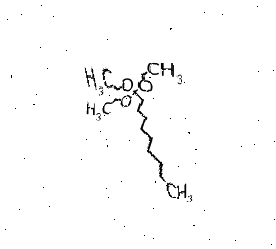 CCCCCCCCCC(OCC)(OCC)OCC